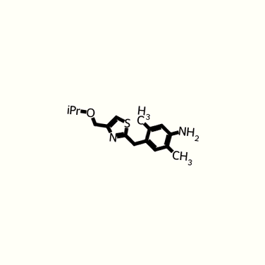 Cc1cc(Cc2nc(COC(C)C)cs2)c(C)cc1N